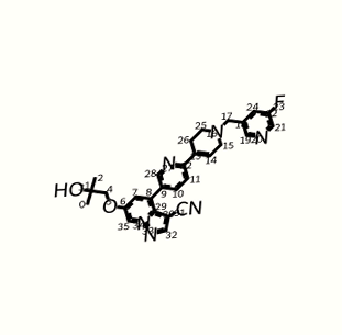 CC(C)(O)COc1cc(-c2ccc(C3=CCN(Cc4cncc(F)c4)CC3)nc2)c2c(C#N)cnn2c1